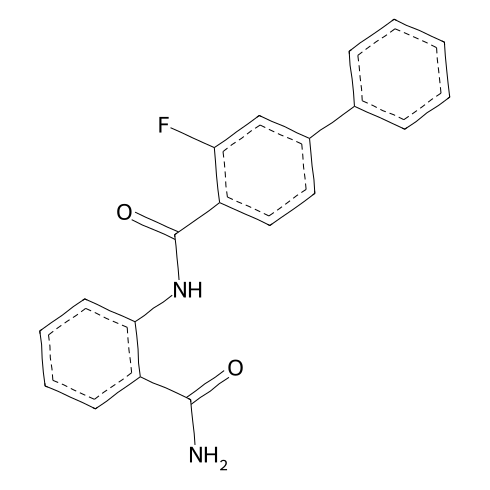 NC(=O)c1ccccc1NC(=O)c1ccc(-c2ccccc2)cc1F